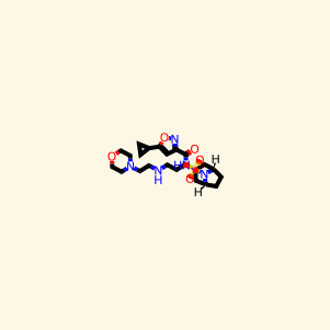 O=C(N[C@H]1C[C@H]2CC[C@@H](C1)N2S(=O)(=O)CCCNCCN1CCOCC1)c1cc(C2CC2)on1